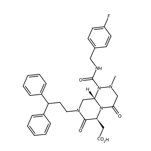 CN1CC(=O)N2[C@@H](CC(=O)O)C(=O)N(CCC(c3ccccc3)c3ccccc3)C[C@@H]2N1C(=O)NCc1ccc(F)cc1